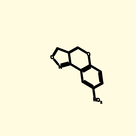 O=[N+]([O-])c1ccc2c(c1)C1=NOCC1CO2